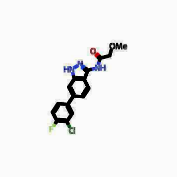 COCC(=O)Nc1n[nH]c2cc(-c3ccc(F)c(Cl)c3)ccc12